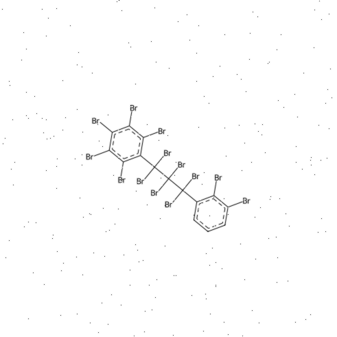 Brc1cccc(C(Br)(Br)C(Br)(Br)C(Br)(Br)c2c(Br)c(Br)c(Br)c(Br)c2Br)c1Br